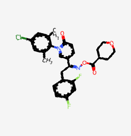 Cc1cc(Cl)cc(C)c1-n1cc(/C(Cc2ccc(F)cc2F)=N\OC(=O)C2CCOCC2)ccc1=O